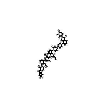 C=CC(=O)Nc1cc(Nc2nc(-c3ccnc(N4CCn5c(cc6c5CC(C)(C)C6)C4=O)c3CO)cn(C)c2=O)ccc1N1CCN(C2CCN(c3cccc4c3CN(C3CCC(=O)N(C)C3=O)C4=O)[C@H](C)C2)C[C@@H]1C